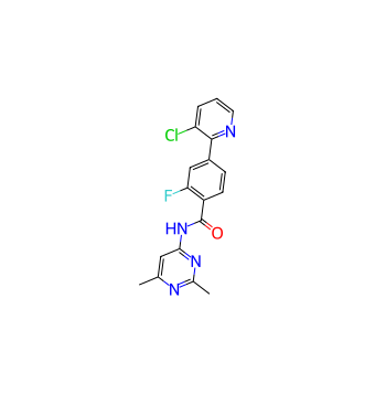 Cc1cc(NC(=O)c2ccc(-c3ncccc3Cl)cc2F)nc(C)n1